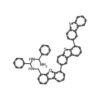 NC(NC(NCc1cccc2c1oc1c(-c3ccc4sc5c(-c6ccc7sc8ccccc8c7c6)cccc5c4c3)cccc12)c1ccccc1)c1ccccc1